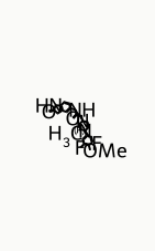 COc1c(F)cc(N2CCN(CC(=O)Nc3ccc4c(c3)CC(=O)N4)C[C@H]2C)cc1F